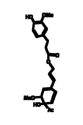 COc1cc(CCC(=O)OC/C=C/C2=CC(OC)C(O)(C(C)=O)C=C2)ccc1O